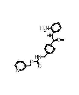 C=C=C(Nc1ccccc1N)c1ccc(CNC(=O)OCc2cccnc2)cc1